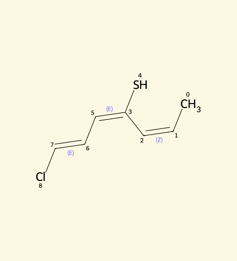 C\C=C/C(S)=C\C=C\Cl